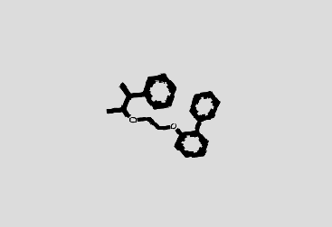 CC(OCCOc1ccccc1-c1ccccc1)C(C)c1ccccc1